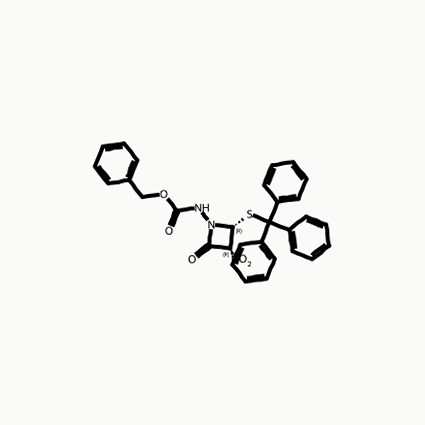 O=C(NN1C(=O)[C@@H]([N+](=O)[O-])[C@H]1SC(c1ccccc1)(c1ccccc1)c1ccccc1)OCc1ccccc1